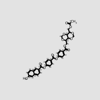 CC(=O)OCC1OCOC2C(COC(=O)c3ccc(OC(=O)c4ccc(OC(=O)c5ccc6cc(O)ccc6c5)cc4)cc3)OCOC12